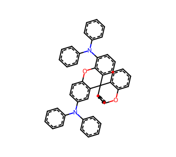 c1ccc(N(c2ccccc2)c2ccc3c(c2)C2(c4ccccc4Oc4ccccc42)c2cccc(N(c4ccccc4)c4ccccc4)c2O3)cc1